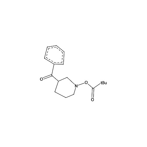 CC(C)(C)C(=O)ON1CCCC(C(=O)c2ccccc2)C1